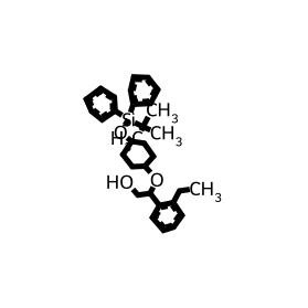 CCc1ccccc1C(CO)OC1CCC(O[Si](c2ccccc2)(c2ccccc2)C(C)(C)C)CC1